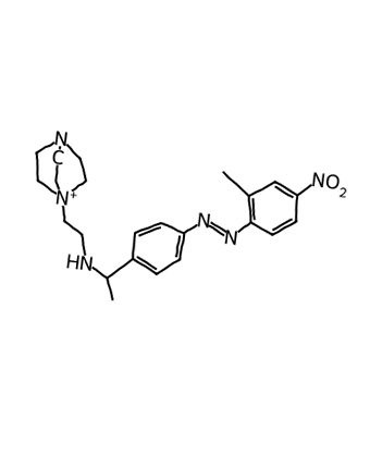 Cc1cc([N+](=O)[O-])ccc1N=Nc1ccc(C(C)NCC[N+]23CCN(CC2)CC3)cc1